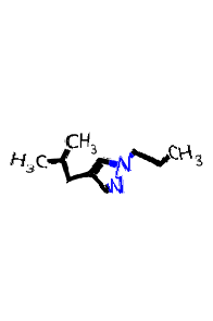 CCCn1cc(CC(C)C)cn1